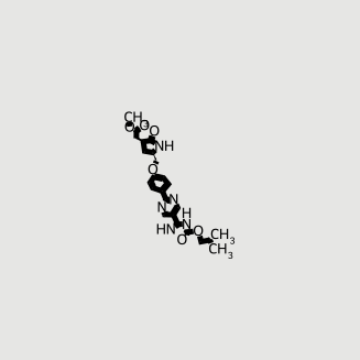 COC(=O)C[C@@H]1C[C@@H](COc2ccc(-c3ncc(C(=N)NC(=O)OCC(C)C)cn3)cc2)NC1=O